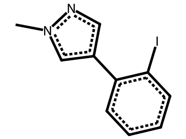 Cn1cc(-c2ccccc2I)cn1